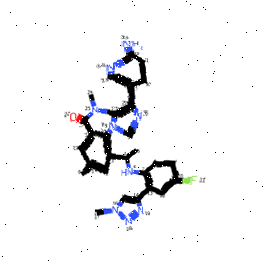 Cc1cc(C(C)Nc2ccc(F)cc2-c2cn(C)nn2)c2c(c1)c(=O)n(C)c1c(-c3ccc(N)nc3)ncn21